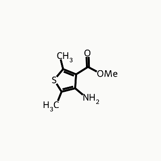 COC(=O)c1c(C)sc(C)c1N